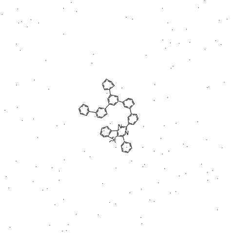 C[Si]1(C)c2ccccc2-c2nc(-c3cccc(-c4cccc(-c5cc(-c6ccccc6)cc(-c6cccc(-c7ccccc7)c6)c5)c4)c3)nc(-c3ccccc3)c21